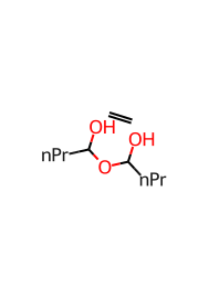 C=C.CCCC(O)OC(O)CCC